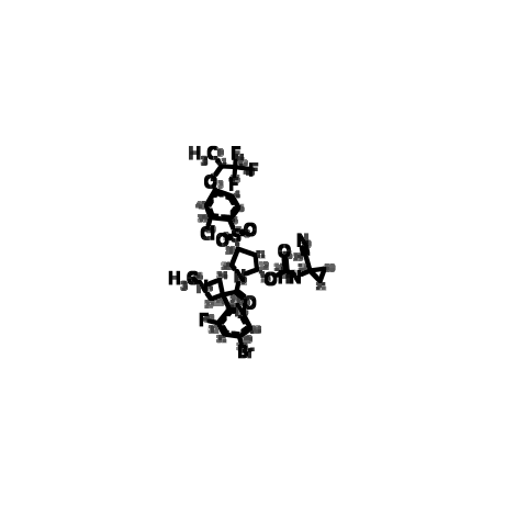 C[C@H](Oc1ccc(S(=O)(=O)[C@@H]2C[C@H](OC(=O)NC3(C#N)CC3)N(C(=O)C3(c4ncc(Br)cc4F)CN(C)C3)C2)c(Cl)c1)C(F)(F)F